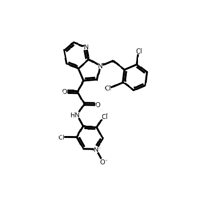 O=C(Nc1c(Cl)c[n+]([O-])cc1Cl)C(=O)c1cn(Cc2c(Cl)cccc2Cl)c2ncccc12